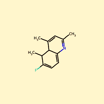 CC1=CC(C)=NC2=CC=C(F)C(C)C12